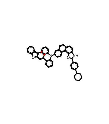 c1ccc(N(c2ccc3c(ccc4ccc5c(c43)OC(c3ccc(C4CCCCC4)cc3)N5)c2)c2ccccc2-c2ccc3c(c2)oc2ccccc23)cc1